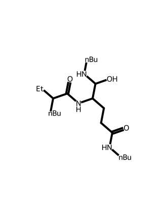 CCCCNC(=O)CCC(NC(=O)C(CC)CCCC)C(O)NCCCC